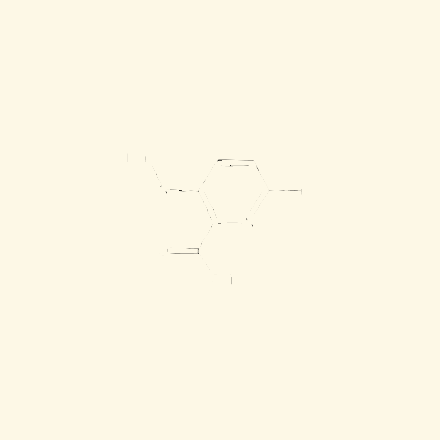 CNc1ccc(Cl)nc1C(=O)O